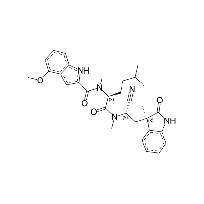 COc1cccc2[nH]c(C(=O)N(C)[C@@H](CCC(C)C)C(=O)N(C)[C@H](C#N)C[C@@]3(C)C(=O)Nc4ccccc43)cc12